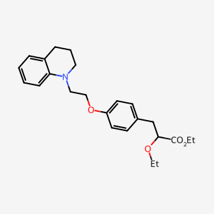 CCOC(=O)C(Cc1ccc(OCCN2CCCc3ccccc32)cc1)OCC